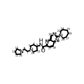 O=C(NC1CCN(CCN2CCCC2)CC1)c1ccc2nc(N3CCCCCC3)ncc2n1